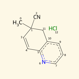 CC1(C#N)C=Cc2ncccc2C1.Cl